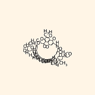 C/C1=C/C=C/[C@H](C(C)OC(=O)C(C)(C)CC(=O)N2CCOCC2)[C@H](O)[C@@H](C)[C@@H](O)[C@@H](C)[C@H](O)[C@H](C)[C@@H](O[C@H]2C[C@@H]3OCO[C@@H]3[C@@H](C)O2)/C=C/O[C@]2(C)CC(=O)c3c(c(C)c(O)c4c3C(=O)C=C(NC1=O)C4=O)O2